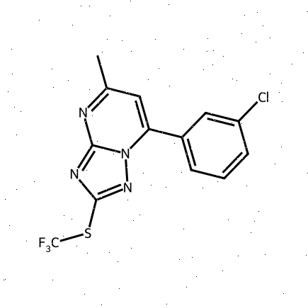 Cc1cc(-c2cccc(Cl)c2)n2nc(SC(F)(F)F)nc2n1